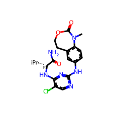 CC(C)[C@@H](Nc1nc(Nc2ccc3c(c2)CCOC(=O)N3C)ncc1Cl)C(N)=O